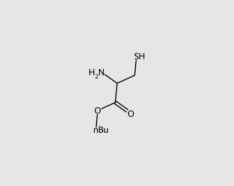 CCCCOC(=O)C(N)CS